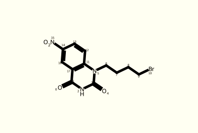 O=c1[nH]c(=O)n(CCCCBr)c2ccc([N+](=O)[O-])cc12